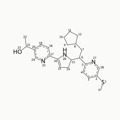 CSc1ccc(C(CC2CCCC2)C2CC=C(c3ccc(C(C)O)cn3)N2)nc1